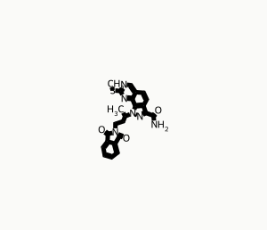 CSc1ncc2ccc3c(C(N)=O)nn(C(C)CCN4C(=O)c5ccccc5C4=O)c3c2n1